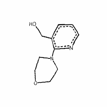 OCc1cccnc1N1CCOCC1